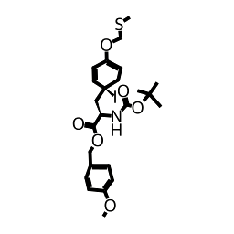 COc1ccc(COC(=O)[C@@H](C[C@]2(I)C=CC(OCSC)=CC2)NC(=O)OC(C)(C)C)cc1